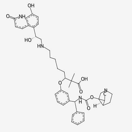 CC(C)(C(=O)O)C(CCCCCNC[C@H](O)c1ccc(O)c2[nH]c(=O)ccc12)Oc1cccc(C(NC(=O)O[C@H]2CN3CCC2CC3)c2ccccc2)c1